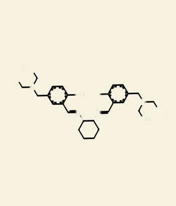 CCN(CC)Cc1ccc(O)c(/C=N/[C@@H]2CCCC[C@H]2/N=C/c2cc(CN(CC)CC)ccc2O)c1